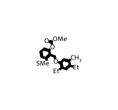 CCc1cc(CC)c(OCc2c(OC(=O)OC)cccc2SC)cc1C